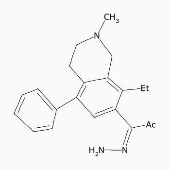 CCc1c(/C(=N\N)C(C)=O)cc(-c2ccccc2)c2c1CN(C)CC2